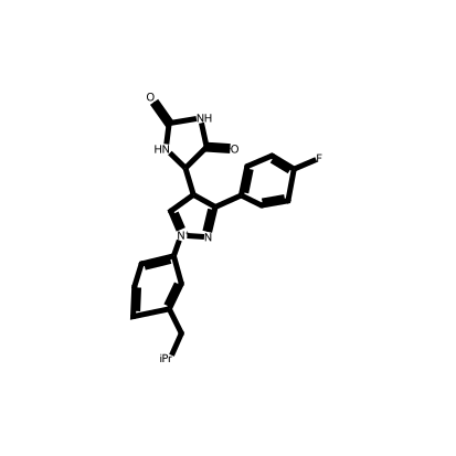 CC(C)Cc1cccc([N+]2=CC(C3NC(=O)NC3=O)C(c3ccc(F)cc3)=N2)c1